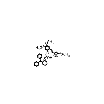 COCc1cc(/C=C/c2cc(OC)c(OC)cc2OCC(O)CN2CCCCC2=C(c2ccccc2)c2ccccc2)on1